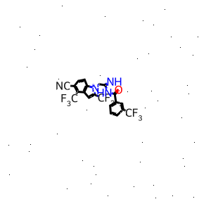 N#Cc1ccc2c(cc(C(F)(F)F)n2CC(=N)NC(=O)c2cccc(C(F)(F)F)c2)c1C(F)(F)F